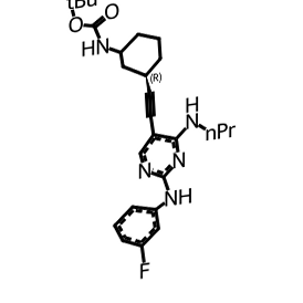 CCCNc1nc(Nc2cccc(F)c2)ncc1C#C[C@@H]1CCCC(NC(=O)OC(C)(C)C)C1